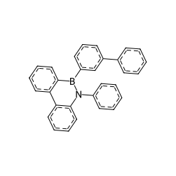 c1ccc(-c2cccc(B3c4ccccc4-c4ccccc4N3c3ccccc3)c2)cc1